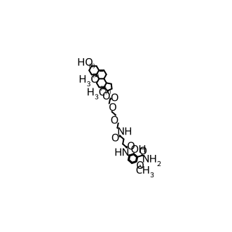 COc1ccc(NC(=O)CCC(=O)NCCOCCOCC(=O)O[C@@H]2CCC3C4CC=C5C[C@H](O)CC[C@@]5(C)C4CC[C@]32C)c(O)c1C(N)=O